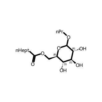 CCCCCCCC(=O)OC[C@H]1OC(OCCC)[C@H](O)[C@@H](O)[C@@H]1O